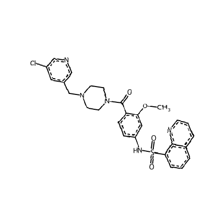 COc1cc(NS(=O)(=O)c2cccc3cccnc23)ccc1C(=O)N1CCN(Cc2cncc(Cl)c2)CC1